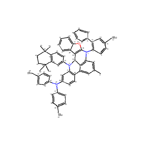 Cc1cc2c3c(c1)N(c1ccc(C(C)(C)C)cc1-c1ccccc1)c1oc4ccccc4c1B3N(c1ccc3c(c1)C(C)(C)CCC3(C)C)c1cc(N(c3ccc(C(C)(C)C)cc3)c3ccc(C(C)(C)C)cc3)ccc1-2